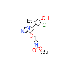 CCc1cc(O)c(Cl)cc1-c1cc(OCC2CN(C(=O)OC(C)(C)C)C2)c2cncn2c1